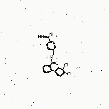 N=C(N)c1ccc(CNC(=O)c2ccccc2-c2ccc(Cl)c(Cl)c2)cc1